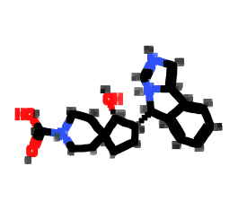 O=C(O)N1CCC2(CC[C@@H](C3c4ccccc4-c4cncn43)[C@H]2O)CC1